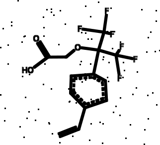 C=Cc1ccc(C(OCC(=O)O)(C(F)(F)F)C(F)(F)F)cc1